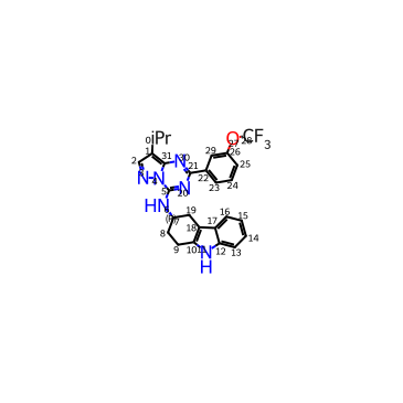 CC(C)c1cnn2c(N[C@@H]3CCc4[nH]c5ccccc5c4C3)nc(-c3cccc(OC(F)(F)F)c3)nc12